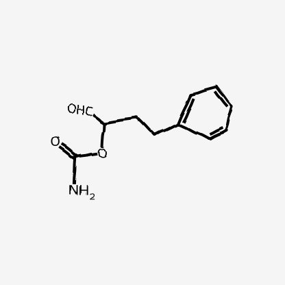 NC(=O)OC(C=O)CCc1ccccc1